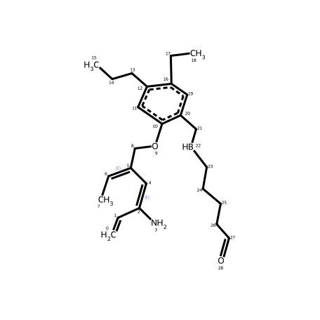 C=C/C(N)=C\C(=C/C)COc1cc(CCC)c(CC)cc1CBCCCCC=O